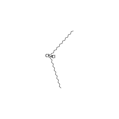 CCCCCCCCCCCCCCCC[Se](Cl)(Cl)CCCCCCCCCCCCCCCC